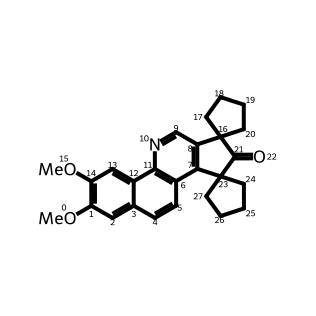 COc1cc2ccc3c4c(cnc3c2cc1OC)C1(CCCC1)C(=O)C41CCCC1